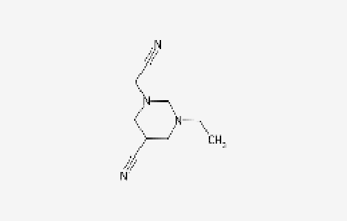 CCN1CC(C#N)CN(CC#N)C1